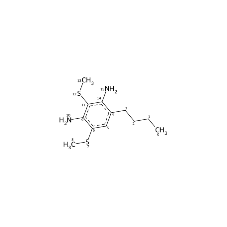 CCCCc1cc(SC)c(N)c(SC)c1N